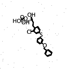 O=P(O)(O)OC[C@H](CO)CCc1ccc(Sc2cccc(OCc3ccccc3)c2)cc1Cl